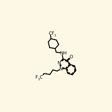 O=c1c(NCC2CCC(C(F)(F)F)CC2)nn(CCCCC(F)(F)F)c2ccccc12